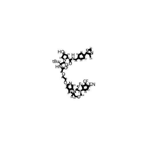 Cc1cc(OCCOCC(=O)N[C@H](C(=O)N2C[C@H](O)C[C@H]2C(=O)NCc2ccc(-c3scnc3C)cc2)C(C)(C)C)ncc1N1C(=S)N(c2ccc(C#N)c(C(F)(F)F)c2F)COCC1(C)C